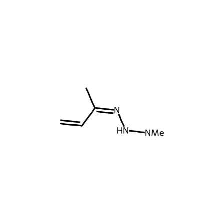 C=C/C(C)=N\NNC